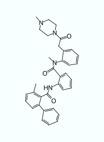 Cc1cccc(-c2ccccc2)c1C(=O)Nc1ccccc1C(=O)N(C)c1ccccc1CC(=O)N1CCN(C)CC1